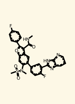 CNC(=O)c1c(-c2ccc(F)cc2)oc2cc(N(C)S(C)(=O)=O)c(-c3ccc(F)c(-c4nc5cccnc5[nH]4)c3)cc12